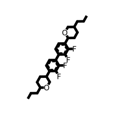 CCCC1CCC(c2ccc(-c3ccc(C4CCC(CCC)OC4)c(F)c3F)c(F)c2F)OC1